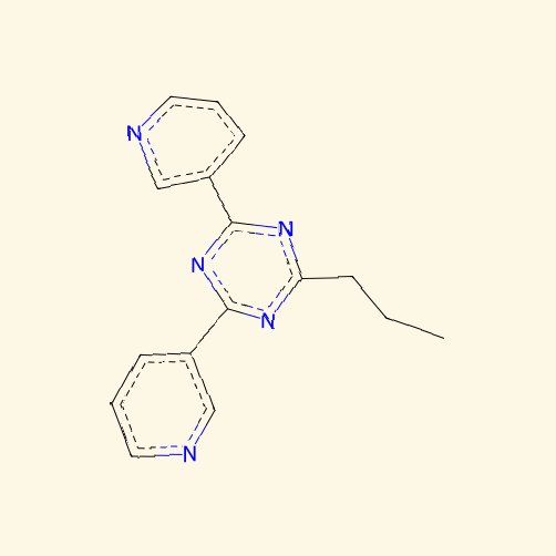 CCCc1nc(-c2cccnc2)nc(-c2cccnc2)n1